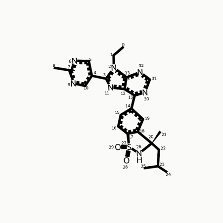 CCn1c(-c2cnc(C)nc2)nc2c(-c3ccc4c(c3)[C@](C)(CC(C)C)NS4(=O)=O)ncnc21